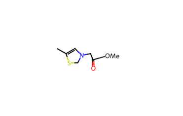 COC(=O)CN1C=C(C)SC1